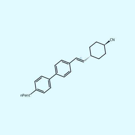 CCCCCc1ccc(-c2ccc(/C=C/[C@H]3CC[C@H](C#N)CC3)cc2)cc1